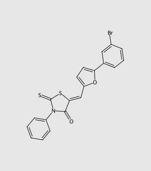 O=C1C(=Cc2ccc(-c3cccc(Br)c3)o2)SC(=S)N1c1ccccc1